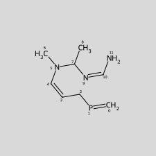 C=PC/C=C\N(C)C(C)/N=C\N